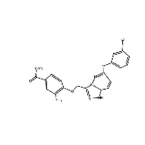 COC(=O)c1ccc(OCC2=NNC3C=CC(Nc4cccc(Cl)c4)=NN23)c(N)c1